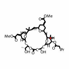 COC(=O)/C=C1/C[C@H]2C[C@]3(O)O[C@H](C[C@@H](O)CC(=O)O[C@@H]([C@@H](C)O)C[C@@H]4C/C(=C\C(=O)OC)C[C@@](O)(O4)C(C)(C)/C=C/[C@@H](C1)O2)C[C@H](OC(=O)CC(C)C)C3(C)C